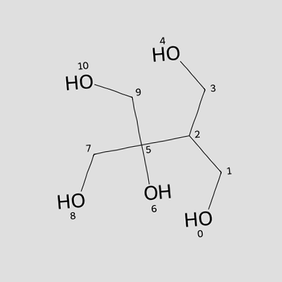 OCC(CO)C(O)(CO)CO